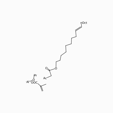 C=C(C)C(=O)[O-].CC(C)[O][Al+].CCCCCCCCC=CCCCCCCCCOC(=O)CC(C)=O